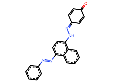 O=C1C=CC(=NNc2ccc(N=Nc3ccccc3)c3ccccc23)C=C1